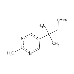 CCCCCCCC(C)(C)c1cnc(C)nc1